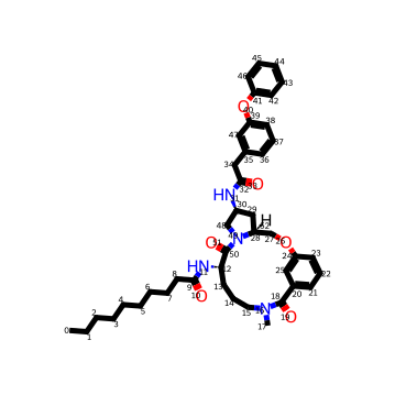 CCCCCCCCCC(=O)N[C@H]1CCCN(C)C(=O)c2cccc(c2)OC[C@@H]2C[C@H](NC(=O)Cc3cccc(Oc4ccccc4)c3)CN2C1=O